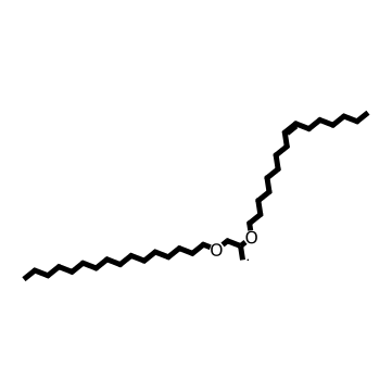 [CH2]C(COCCCCCCCCCCCCCCCC)OCCCCCCCC/C=C\CCCCCC